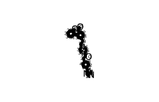 O=C(Cc1ccc(-n2cncn2)cc1)N1CCN(CCc2ccc3c(=O)oc4ccccc4c3c2)CC1